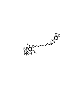 CCCc1cc(C(O)(C(F)(F)F)C(F)(F)F)cc(CCC)c1OCCCCCCCCCN1C=NC(C)(c2ccc3c(c2)OCO3)C1